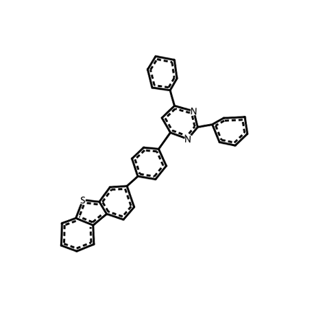 c1ccc(-c2cc(-c3ccc(-c4ccc5c(c4)sc4ccccc45)cc3)nc(-c3ccccc3)n2)cc1